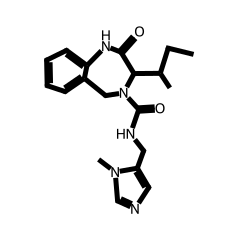 CCC(C)C1C(=O)Nc2ccccc2CN1C(=O)NCc1cncn1C